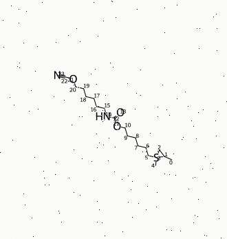 CC1CS1(C)CCCCCCOC(=O)NCCCCCCOC#N